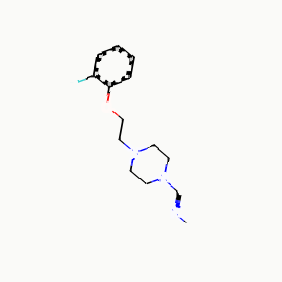 C/N=C/N1CCN(CCOc2ccccc2F)CC1